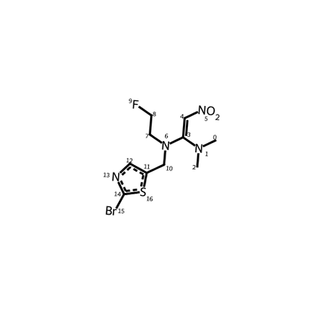 CN(C)C(=C[N+](=O)[O-])N(CCF)Cc1cnc(Br)s1